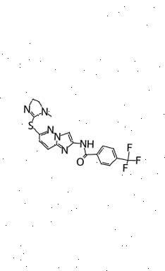 CN1CCN=C1Sc1ccc2nc(NC(=O)c3ccc(C(F)(F)F)cc3)cn2n1